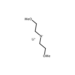 COCC[N-]CCOC.[Li+]